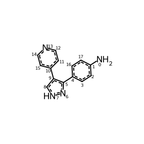 Nc1ccc(-c2n[nH]cc2-c2ccncc2)cc1